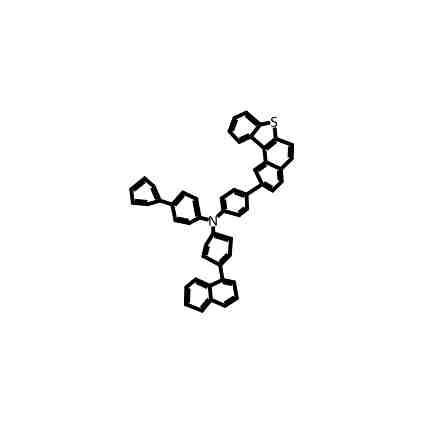 c1ccc(-c2ccc(N(c3ccc(-c4ccc5ccc6sc7ccccc7c6c5c4)cc3)c3ccc(-c4cccc5ccccc45)cc3)cc2)cc1